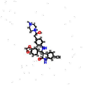 CN1CCN(C(=O)Cc2ccc(NC(=C3C(=O)Nc4cc(C#N)ccc43)c3ccc4c(c3)OCO4)cc2)CC1